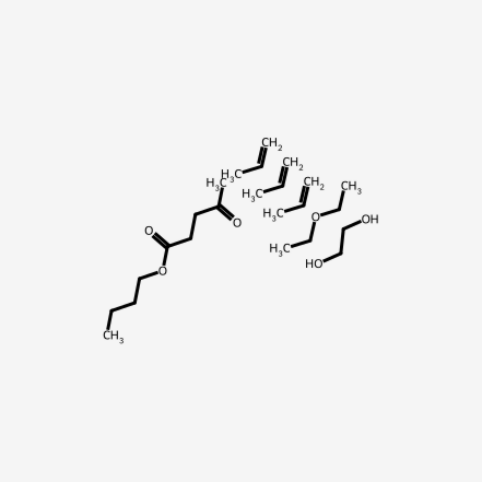 C=CC.C=CC.C=CC.CCCCOC(=O)CCC(C)=O.CCOCC.OCCO